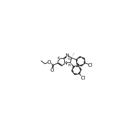 CCOC(=O)C1=CN2C(=N[C@@](C)(c3ccc(Cl)cc3)[C@H]2c2ccc(Cl)cc2)S1